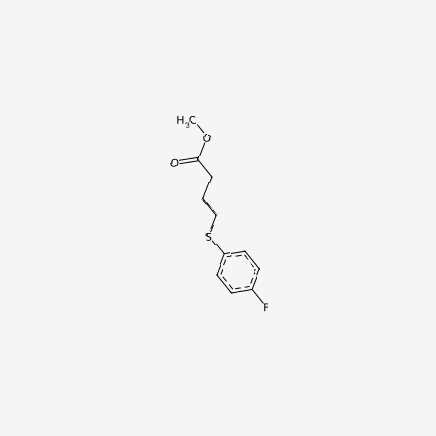 COC(=O)CCCSc1ccc(F)cc1